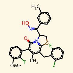 COc1cccc(-c2c(C)c(Cc3c(F)cccc3F)c3n(c2=O)C(C(=NO)c2cccc(C)c2)CS3)c1F